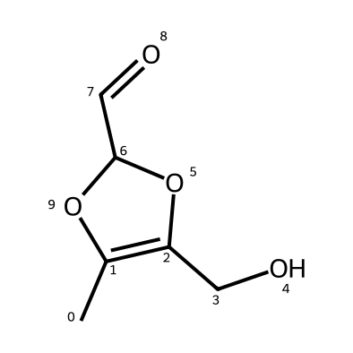 CC1=C(CO)OC(C=O)O1